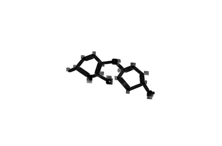 Cc1ccc(Oc2ccc(Br)cc2)c(Cl)n1